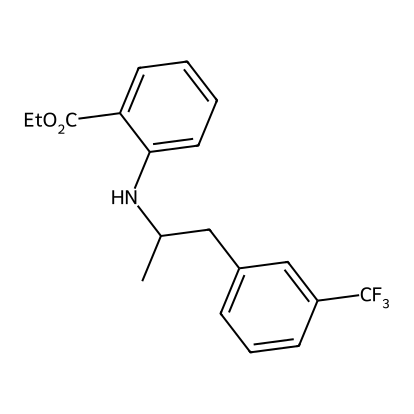 CCOC(=O)c1ccccc1NC(C)Cc1cccc(C(F)(F)F)c1